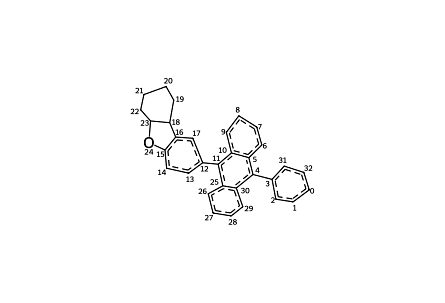 c1ccc(-c2c3ccccc3c(-c3ccc4c(c3)C3CCCCC3O4)c3ccccc23)cc1